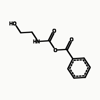 O=C(NCCO)OC(=O)c1ccccc1